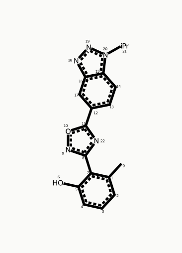 Cc1cccc(O)c1-c1noc(-c2ccc3c(c2)nnn3C(C)C)n1